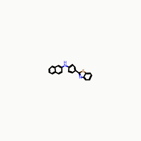 c1ccc2cc(Nc3ccc(-c4nc5ccccc5s4)cc3)ccc2c1